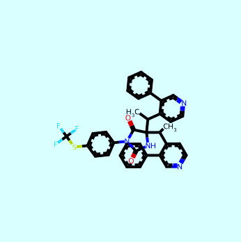 CC(c1ccncc1-c1ccccc1)C1(C(C)c2ccncc2-c2ccccc2)NC(=O)N(c2ccc(SC(F)(F)F)cc2)C1=O